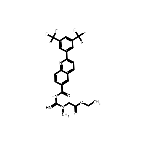 CCOC(=O)CN(C)C(=N)NC(=O)c1ccc2nc(-c3cc(C(F)(F)F)cc(C(F)(F)F)c3)ccc2c1